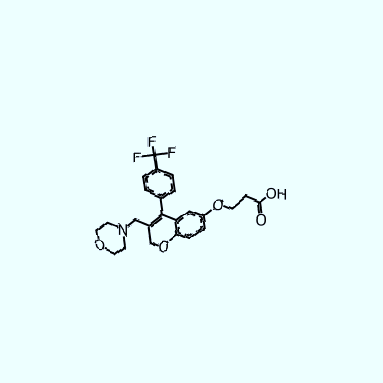 O=C(O)CCOc1ccc2c(c1)C(c1ccc(C(F)(F)F)cc1)=C(CN1CCOCC1)CO2